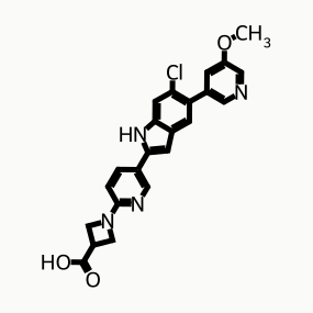 COc1cncc(-c2cc3cc(-c4ccc(N5CC(C(=O)O)C5)nc4)[nH]c3cc2Cl)c1